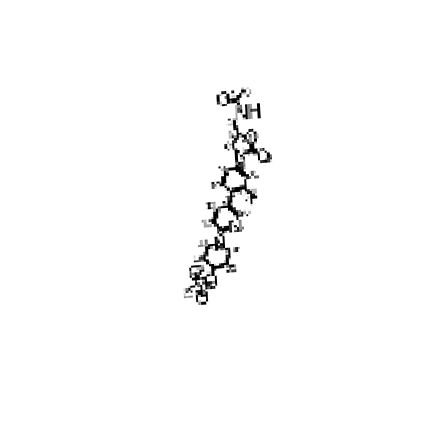 CC(=O)NCC1CN(c2ccc(-c3ccc(N4CCC(OS(C)(=O)=O)CC4)nc3)c(F)c2)C(=O)O1